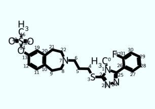 Cn1c(SCCCN2CCc3ccc(OS(C)(=O)=O)cc3CC2)nnc1-c1ccccc1F